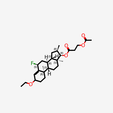 CCOC1C=C2[C@@H](F)C[C@H]3[C@@H]4C[C@@H](C)[C@@H](OC(=O)CCOC(C)=O)[C@@]4(C)CC[C@@H]3[C@@]2(C)CC1